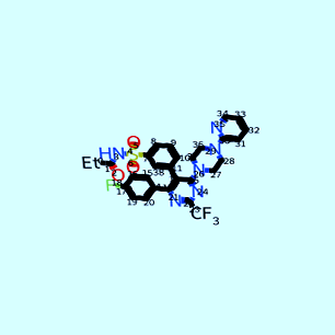 CCC(=O)NS(=O)(=O)c1cccc(-c2c(-c3ccc(F)cc3)nc(C(F)(F)F)nc2N2CCN(c3ccccn3)CC2)c1